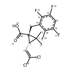 CC1(C)[C@H](C=C(Cl)Cl)[C@]1(Cc1c(F)c(F)cc(F)c1F)C(=O)O